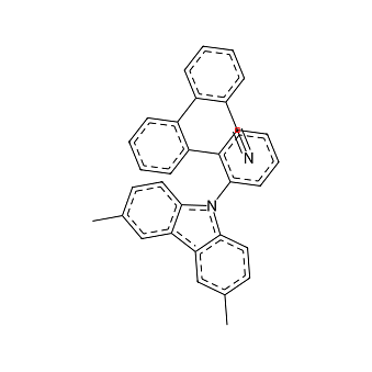 Cc1ccc2c(c1)c1cc(C)ccc1n2-c1ccccc1-c1ccccc1-c1ccccc1C#N